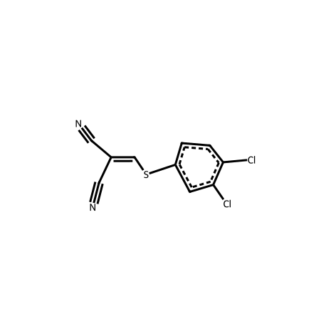 N#CC(C#N)=CSc1ccc(Cl)c(Cl)c1